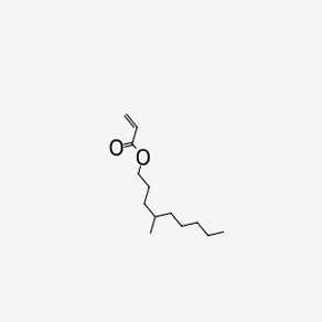 C=CC(=O)OCCCC(C)CCCCC